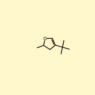 CC1CC(C(C)(C)C)=CO1